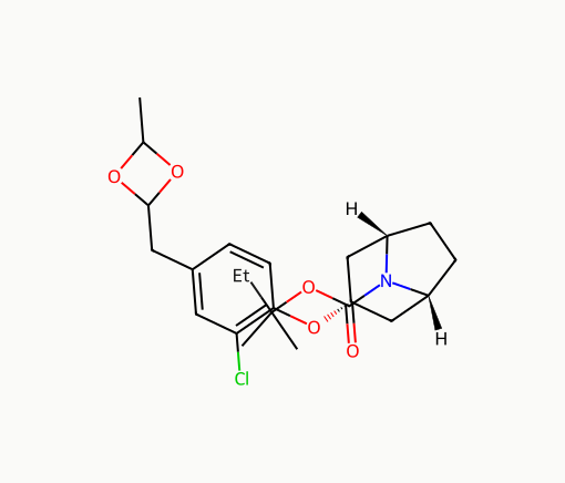 CCC(C)(C)OC(=O)N1[C@@H]2CC[C@H]1C[C@@H](Oc1ccc(CC3OC(C)O3)cc1Cl)C2